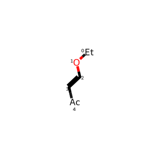 CCO/C=C/C(C)=O